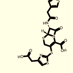 O=C(O)Cc1csc(SC2=C(C(=O)O)N3C(=O)[C@@H](NC(=O)Cc4ccsc4)[C@H]3SC2)n1